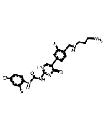 NCCCNCc1ccc(-c2c[nH]c(NC(=O)Nc3ccc(Cl)cc3F)nc2=O)cc1F